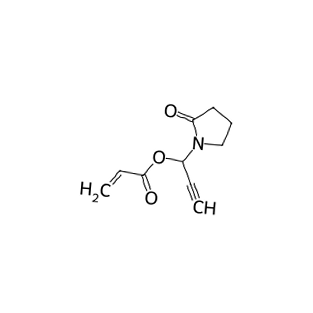 C#CC(OC(=O)C=C)N1CCCC1=O